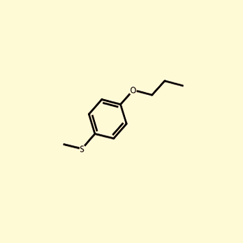 CCCOc1ccc(SC)cc1